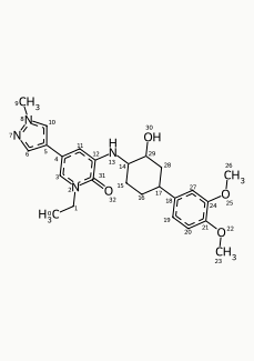 CCn1cc(-c2cnn(C)c2)cc(NC2CCC(c3ccc(OC)c(OC)c3)CC2O)c1=O